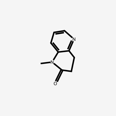 CN1C(=O)CCc2ncccc21